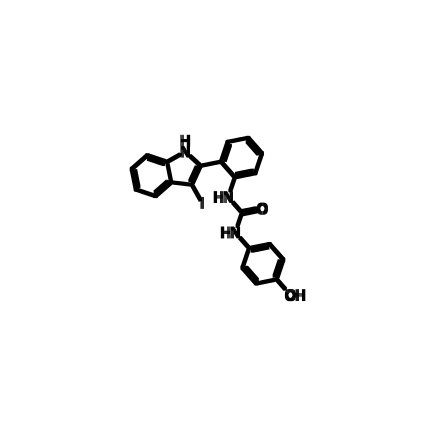 O=C(Nc1ccc(O)cc1)Nc1ccccc1-c1[nH]c2ccccc2c1I